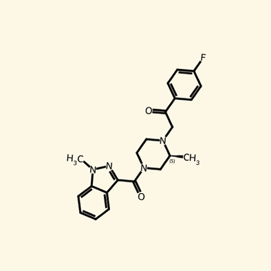 C[C@H]1CN(C(=O)c2nn(C)c3ccccc23)CCN1CC(=O)c1ccc(F)cc1